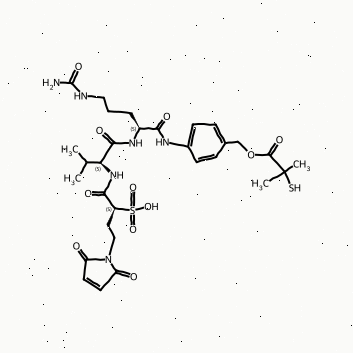 CC(C)[C@H](NC(=O)[C@H](CCN1C(=O)C=CC1=O)S(=O)(=O)O)C(=O)N[C@@H](CCCNC(N)=O)C(=O)Nc1ccc(COC(=O)C(C)(C)S)cc1